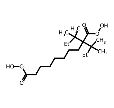 CCC(C)(C)C(CCCCCCCC(=O)OO)(C(=O)OO)C(C)(C)CC